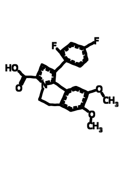 COc1cc2c(cc1OC)-c1c(-c3ccc(F)cc3F)cc(C(=O)O)n1CC2